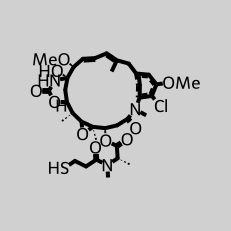 COc1cc2cc(c1Cl)N(C)C(=O)C[C@H](OC(=O)[C@H](C)N(C)C(=O)CCS)[C@@]1(C)OC1[C@H](C)[C@@H]1C[C@@](O)(NC(=O)O1)[C@H](OC)/C=C/C=C(\C)C2